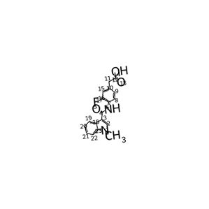 Cn1cc(C(=O)Nc2ccc(CC(=O)O)cc2F)c2ccccc21